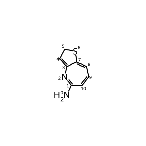 NC1=NC2=CCSC2=CC=C1